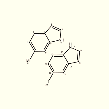 Brc1ccc2cc[nH]c2c1.Ic1ccc2[nH]ccc2c1